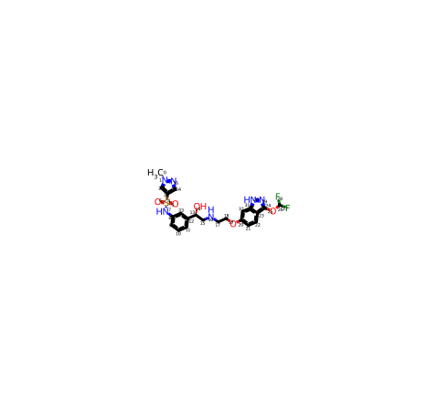 Cn1cc(S(=O)(=O)Nc2cccc([C@@H](O)CNCCOc3ccc4c(OC(F)F)n[nH]c4c3)c2)cn1